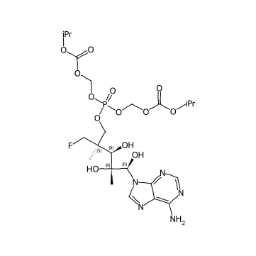 CC(C)OC(=O)OCOP(=O)(OCOC(=O)OC(C)C)OC[C@](C)(CF)[C@@H](O)[C@@](C)(O)[C@@H](O)n1cnc2c(N)ncnc21